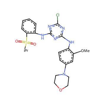 COc1cc(N2CCOCC2)ccc1Nc1nc(Cl)nc(Nc2ccccc2S(=O)(=O)C(C)C)n1